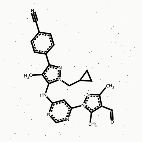 Cc1nn(-c2cc(Nc3c(C)c(-c4ccc(C#N)cc4)nn3CC3CC3)ncn2)c(C)c1C=O